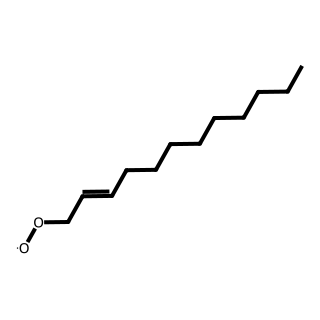 CCCCCCCCCC=CCO[O]